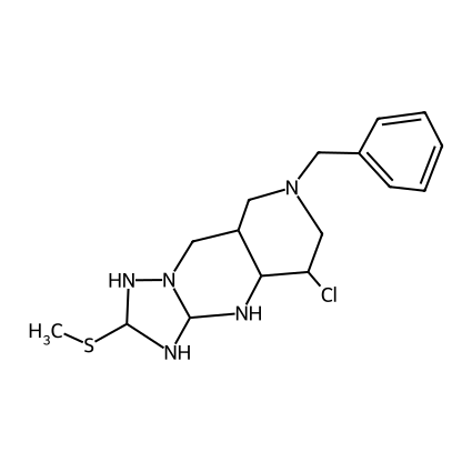 CSC1NC2NC3C(Cl)CN(Cc4ccccc4)CC3CN2N1